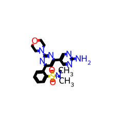 CN(C)S(=O)(=O)c1ccccc1-c1cc(-c2cnc(N)nc2)nc(N2CCOCC2)n1